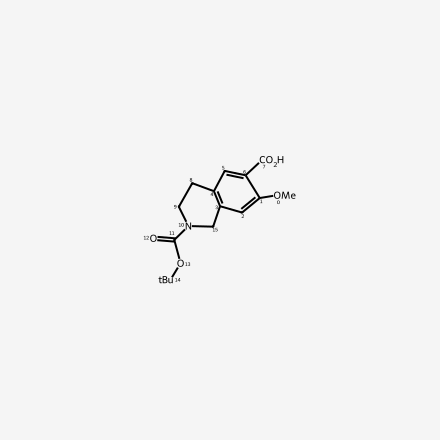 COc1cc2c(cc1C(=O)O)CCN(C(=O)OC(C)(C)C)C2